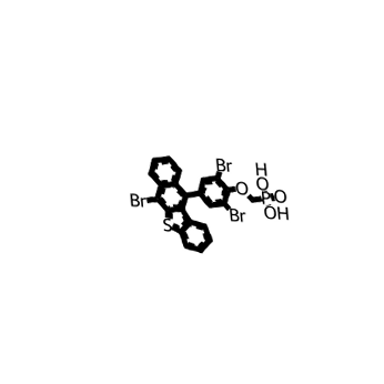 O=P(O)(O)COc1c(Br)cc(-c2c3ccccc3c(Br)c3sc4ccccc4c23)cc1Br